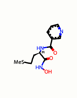 CSCC[C@@H](NC(=O)c1cccnc1)C(=O)NO